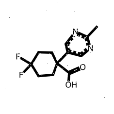 Cc1ncc(C2(C(=O)O)CCC(F)(F)CC2)cn1